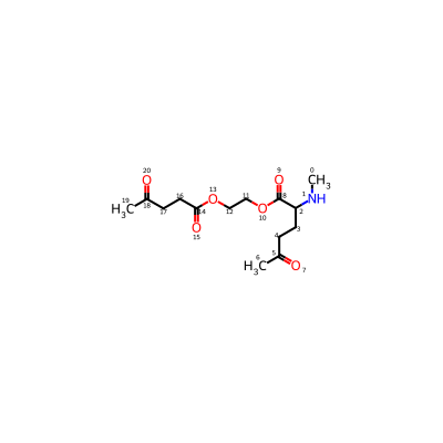 CNC(CCC(C)=O)C(=O)OCCOC(=O)CCC(C)=O